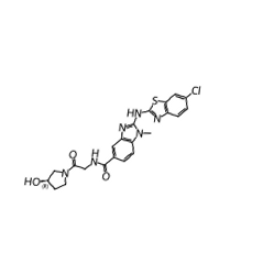 Cn1c(Nc2nc3ccc(Cl)cc3s2)nc2cc(C(=O)NCC(=O)N3CC[C@@H](O)C3)ccc21